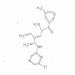 C=C/C(=C\C(N)C(=O)c1cccc(C)c1)[C@H](C)Nc1cncc(Cl)n1